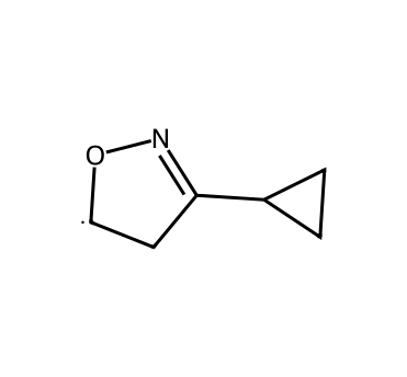 [CH]1CC(C2CC2)=NO1